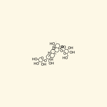 C[C@@H]1CC[C@]2(C(=O)O[C@@H]3O[C@H](CO)[C@@H](O)[C@H](O)[C@H]3O)CC[C@]3(C)C(=CC[C@@H]4[C@@]5(C)CC[C@H](O[C@@H]6OC[C@H](O)[C@H](O)[C@H]6O)[C@@](C)(CO)[C@@H]5CC[C@]43C)[C@@H]2[C@]1(C)O